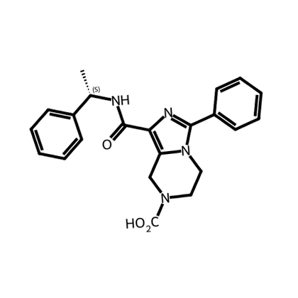 C[C@H](NC(=O)c1nc(-c2ccccc2)n2c1CN(C(=O)O)CC2)c1ccccc1